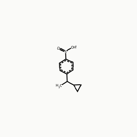 CC(c1ccc(S(=O)O)cc1)C1CC1